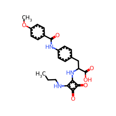 CCCNc1c(NC(Cc2ccc(NC(=O)c3ccc(OC)cc3)cc2)C(=O)O)c(=O)c1=O